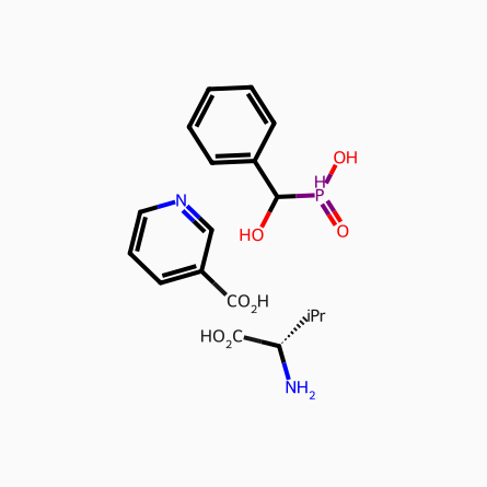 CC(C)[C@H](N)C(=O)O.O=C(O)c1cccnc1.O=[PH](O)C(O)c1ccccc1